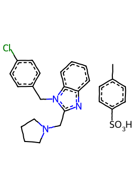 Cc1ccc(S(=O)(=O)O)cc1.Clc1ccc(Cn2c(CN3CCCC3)nc3ccccc32)cc1